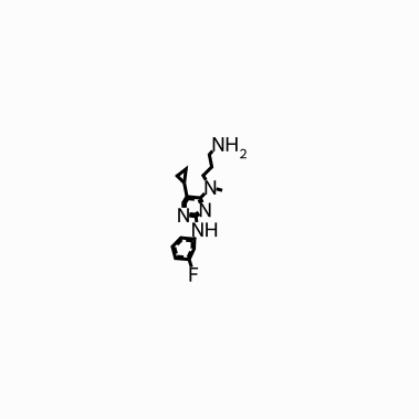 CN(CCCN)c1nc(Nc2cccc(F)c2)ncc1C1CC1